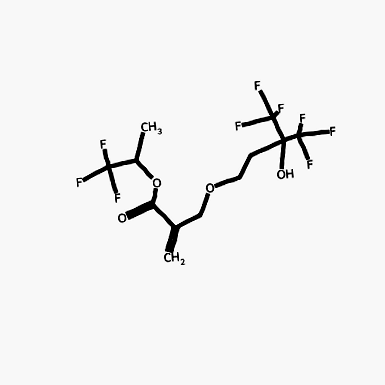 C=C(COCCC(O)(C(F)(F)F)C(F)(F)F)C(=O)OC(C)C(F)(F)F